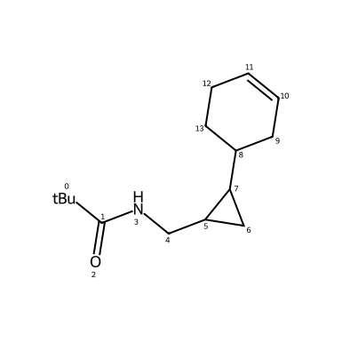 CC(C)(C)C(=O)NCC1CC1C1CC=CCC1